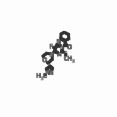 CSc1nc(N2CCO[C@@H](c3cnn(C)c3)C2)c(F)c2nc3c(c(=O)n12)CCCC3